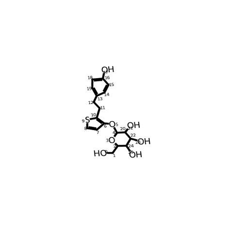 OCC1OC(Oc2ccsc2CCc2ccc(O)cc2)C(O)C(O)C1O